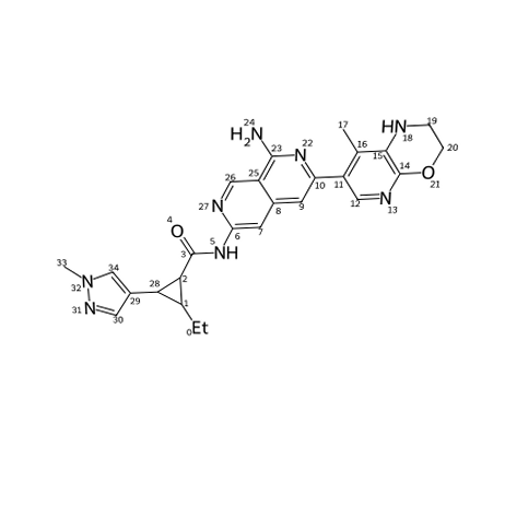 CCC1C(C(=O)Nc2cc3cc(-c4cnc5c(c4C)NCCO5)nc(N)c3cn2)C1c1cnn(C)c1